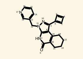 O=c1[nH]c2c(c(C3=CC=C3)nn2Cc2cccnc2)c2c1CCCC2